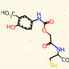 O=C(COC(=O)Nc1ccc(O)c(C(=O)O)c1)NC(CS)C(=O)O